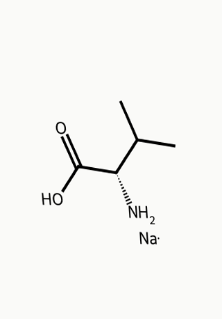 CC(C)[C@H](N)C(=O)O.[Na]